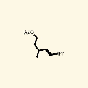 CC(=O)OCCC(C)C=CC(C)C